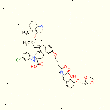 C[C@@H](COc1ccnc2c1[C@H](C)CCC2)C[C@H]1Cc2ccc(OCCCC(=O)N[C@H](Cc3cccc(OC[C@H]4COCCO4)c3)C(=O)O)cc2C12CCC(Nc1cccc(Cl)c1)(C(=O)O)CC2